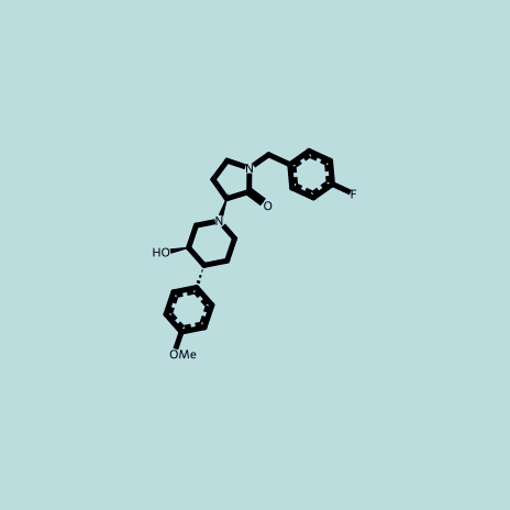 COc1ccc([C@H]2CCN([C@H]3CCN(Cc4ccc(F)cc4)C3=O)C[C@@H]2O)cc1